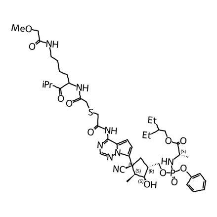 CCC(CC)COC(=O)[C@H](C)NP(=O)(OC[C@H]1C[C@@](C#N)(c2ccc3c(NC(=O)CSCC(=O)NC(CCCCNC(=O)COC)C(=O)C(C)C)ncnn23)[C@H](C)[C@@H]1O)Oc1ccccc1